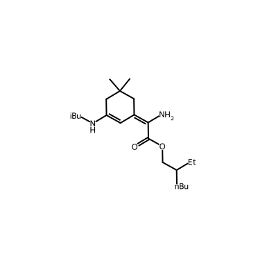 CCCCC(CC)COC(=O)/C(N)=C1\C=C(NC(C)CC)CC(C)(C)C1